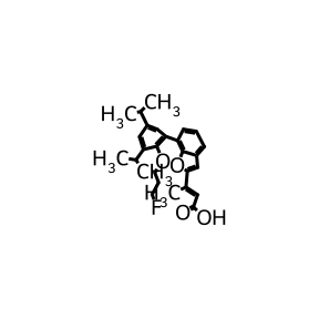 CC(=CC(=O)O)c1cc2cccc(-c3cc(C(C)C)cc(C(C)C)c3OCCCF)c2o1